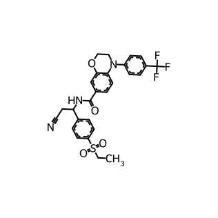 CCS(=O)(=O)c1ccc(C(CC#N)NC(=O)c2ccc3c(c2)OCCN3c2ccc(C(F)(F)F)cc2)cc1